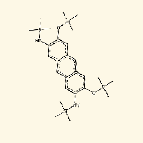 C[Si](C)(C)Nc1cc2cc3cc(N[Si](C)(C)C)c(O[Si](C)(C)C)cc3cc2cc1O[Si](C)(C)C